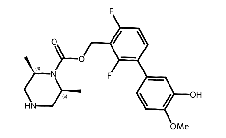 COc1ccc(-c2ccc(F)c(COC(=O)N3[C@H](C)CNC[C@@H]3C)c2F)cc1O